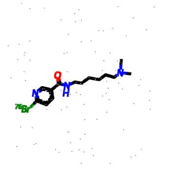 CN(C)CCCCCCNC(=O)c1ccc([76Br])nc1